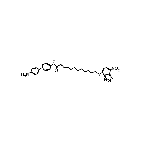 Nc1ccc(-c2ccc(NC(=O)CCCCCCCCCCCNc3ccc([N+](=O)[O-])c4nonc34)cc2)cc1